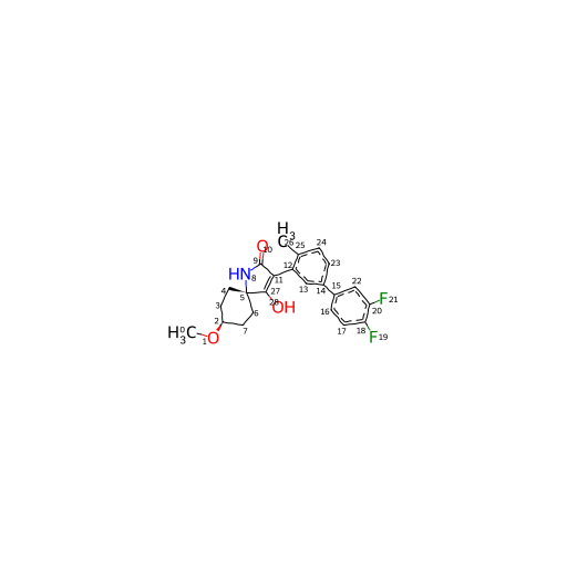 CO[C@H]1CC[C@@]2(CC1)NC(=O)C(c1cc(-c3ccc(F)c(F)c3)ccc1C)=C2O